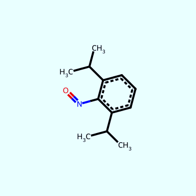 CC(C)c1cccc(C(C)C)c1N=O